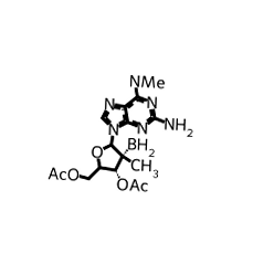 B[C@@]1(C)C(n2cnc3c(NC)nc(N)nc32)OC(COC(C)=O)[C@H]1OC(C)=O